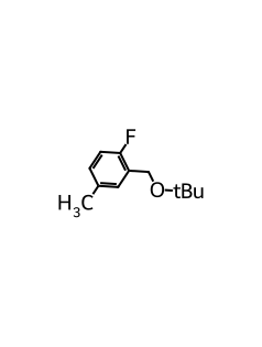 Cc1ccc(F)c(COC(C)(C)C)c1